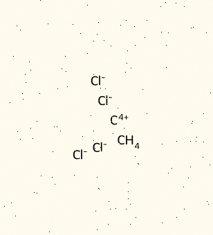 C.[C+4].[Cl-].[Cl-].[Cl-].[Cl-]